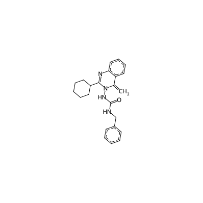 C=C1c2ccccc2N=C(C2CCCCC2)N1NC(=O)NCc1ccccc1